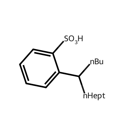 CCCCCCCC(CCCC)c1ccccc1S(=O)(=O)O